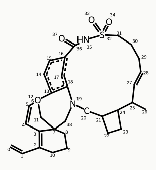 C=CC1=C(/C=C\C)C2(CCC1)COc1ccc3cc1N(CC1CCC1C(C)/C=C/CCCS(=O)(=O)NC3=O)C2